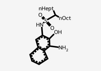 CCCCCCCCC(CCCCCCC)S(=O)(=O)Nc1cc2ccccc2c(N)c1O